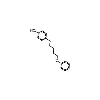 Oc1ccc(SCCCCOc2ccccc2)cc1